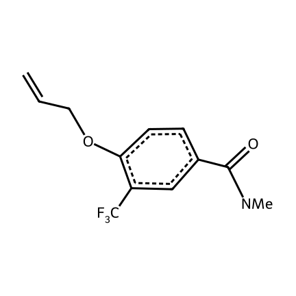 C=CCOc1ccc(C(=O)NC)cc1C(F)(F)F